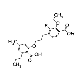 CCCc1cc(C)cc(OCCCc2ccc(C(=O)O)c(OCC)c2F)c1C(=O)O